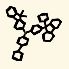 CC1(C)c2ccccc2-c2ccc(N(c3ccc(-c4ccccc4)cc3)c3ccc(C4(c5ccccc5)C5=C(CCC=C5)C5=C4C=CCC5)cc3)cc21